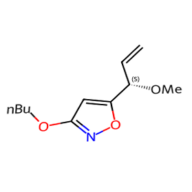 C=C[C@H](OC)c1cc(OCCCC)no1